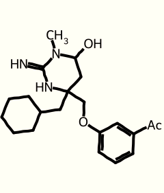 CC(=O)c1cccc(OCC2(CC3CCCCC3)CC(O)N(C)C(=N)N2)c1